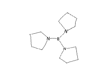 C1CCN(B(N2CCCC2)N2CCCC2)C1